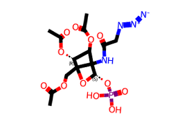 CC(=O)OCC12O[C@@H](OP(=O)(O)O)C1(NC(=O)CN=[N+]=[N-])C(OC(C)=O)[C@H]2OC(C)=O